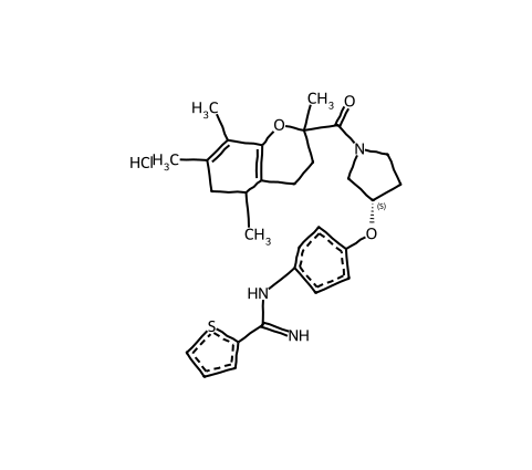 CC1=C(C)C2=C(CCC(C)(C(=O)N3CC[C@H](Oc4ccc(NC(=N)c5cccs5)cc4)C3)O2)C(C)C1.Cl